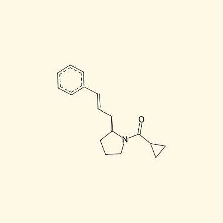 O=C(C1CC1)N1CCCC1CC=Cc1ccccc1